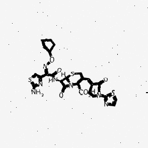 Nc1nc(/C(=N/OC2CCCC2)C(=O)N[C@@H]2C(=O)N3C(C(=O)O)=C(C=C4CCN(c5nccs5)C4=O)CS[C@H]23)cs1